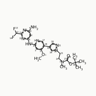 COc1cc(Nc2cc(N)nc(C(F)F)n2)ncc1-c1cnn(CCN(C)C(=O)OC(C)(C)C)c1